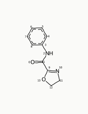 O=C(Nc1ccccc1)C1=NCCO1